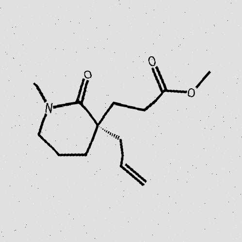 C=CC[C@]1(CCC(=O)OC)CCCN(C)C1=O